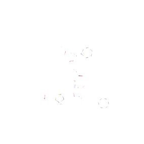 CCC(=O)Oc1nc(CC(=O)N[C@@H](CCc2ccccc2)C(=O)N[C@H]2CC(C)N([C@@H](Cc3ccccc3)C(=O)N[C@@H](CC(C)C)C(=O)C3(C)CO3)C2=O)cs1